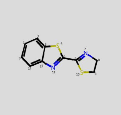 c1ccc2sc(C3=NCCS3)nc2c1